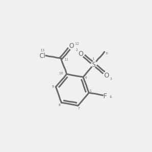 CS(=O)(=O)c1c(F)cccc1C(=O)Cl